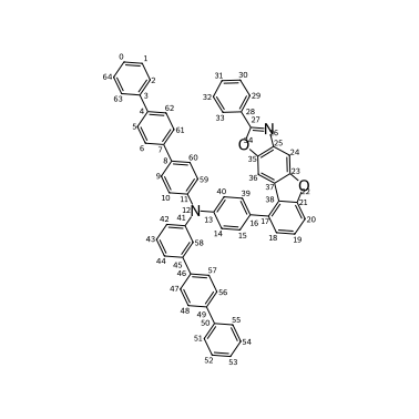 c1ccc(-c2ccc(-c3ccc(N(c4ccc(-c5cccc6oc7cc8nc(-c9ccccc9)oc8cc7c56)cc4)c4cccc(-c5ccc(-c6ccccc6)cc5)c4)cc3)cc2)cc1